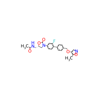 CC(=O)NC[C@H]1CN(c2ccc(-c3ccc(COc4cnoc4C)cc3)c(F)c2)C(=O)O1